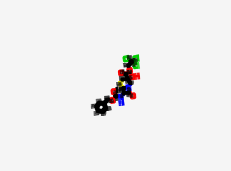 O=C(NC1C(=O)N2CC(O)(C(=O)OCC(Cl)(Cl)Cl)CS[C@H]12)OCc1ccccc1